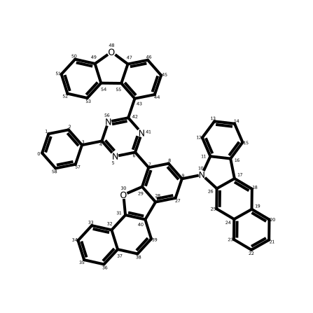 c1ccc(-c2nc(-c3cc(-n4c5ccccc5c5cc6ccccc6cc54)cc4c3oc3c5ccccc5ccc43)nc(-c3cccc4oc5ccccc5c34)n2)cc1